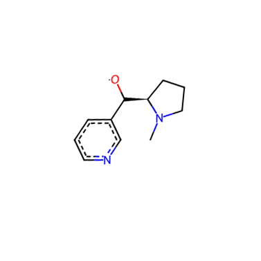 CN1CCC[C@@H]1C([O])c1cccnc1